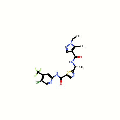 CCn1ncc(C(=O)N[C@H](C)c2ncc(C(=O)Nc3cc(C(F)(F)F)c(Cl)cn3)s2)c1C